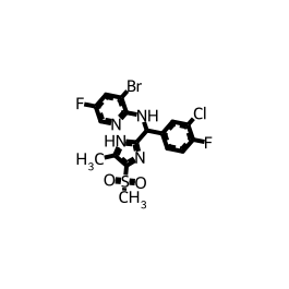 Cc1[nH]c(C(Nc2ncc(F)cc2Br)c2ccc(F)c(Cl)c2)nc1S(C)(=O)=O